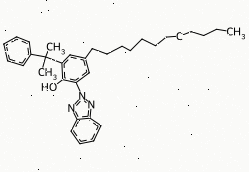 CCCCCCCCCCCCc1cc(-n2nc3ccccc3n2)c(O)c(C(C)(C)c2ccccc2)c1